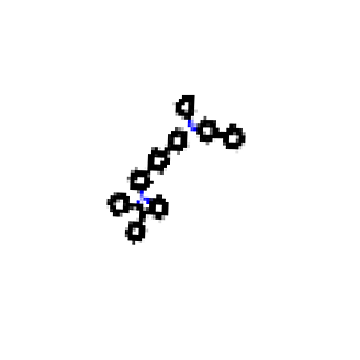 c1ccc(-c2ccc(N(c3ccccc3)c3ccc(-c4ccc(-c5cccc(-n6c(-c7ccccc7)c(-c7ccccc7)c7ccccc76)c5)cc4)cc3)cc2)cc1